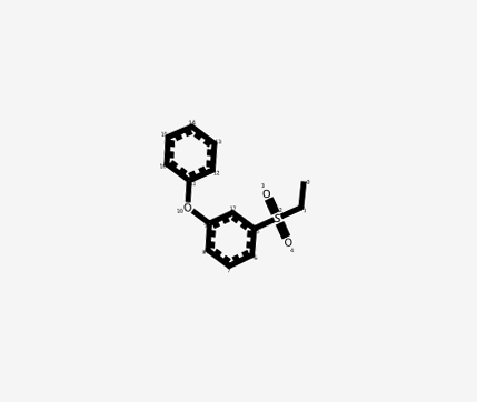 CCS(=O)(=O)c1cccc(Oc2ccccc2)c1